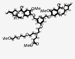 C/C=C1\C[C@H]2C=Nc3cc(OCc4cc(OCCN(CCOCCOCCOC)CCC(=O)OC)cc(COc5cc6c(cc5OC)C(=O)N5CC(C)CC5C=N6)n4)c(OC)cc3C(=O)N2C1